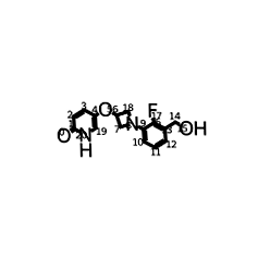 O=c1ccc(OC2CN(c3cccc(CO)c3F)C2)c[nH]1